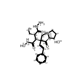 CC(C)C[C@@H](C(=O)NN)[C@H](C(=O)NO)C(/C=C/c1ccccc1)(CC(C)C)C(=O)[C@@H]1CCCN1.Cl